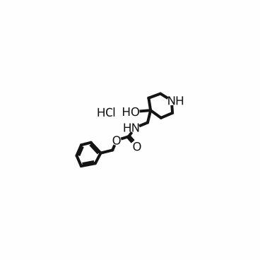 Cl.O=C(NCC1(O)CCNCC1)OCc1ccccc1